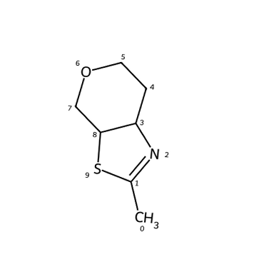 CC1=NC2CCOCC2S1